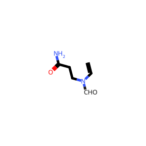 C=CN(C=O)CCC(N)=O